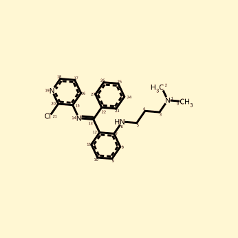 CN(C)CCCNc1ccccc1C(=Nc1cccnc1Cl)c1ccccc1